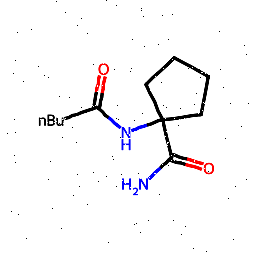 CCCCC(=O)NC1(C(N)=O)CCCC1